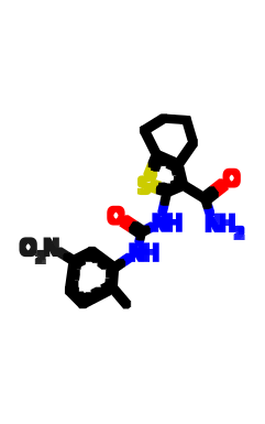 Cc1ccc([N+](=O)[O-])cc1NC(=O)Nc1sc2c(c1C(N)=O)CCCC2